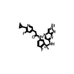 CCn1cc2ncc(N[C@@H](C)c3cc(NC(=O)Cc4cnc(C5CC5)c(F)c4)ccc3F)nc2n1